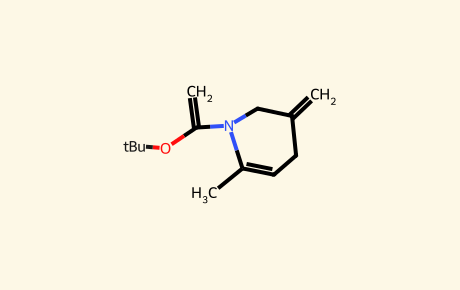 C=C1CC=C(C)N(C(=C)OC(C)(C)C)C1